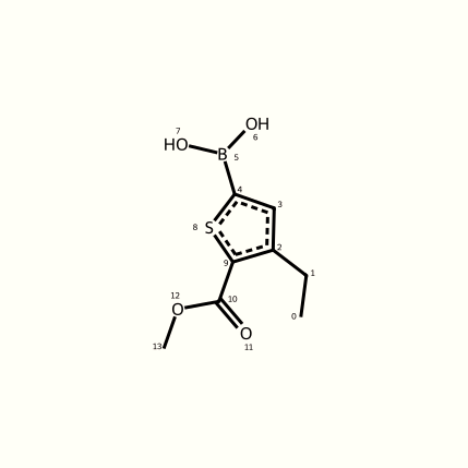 CCc1cc(B(O)O)sc1C(=O)OC